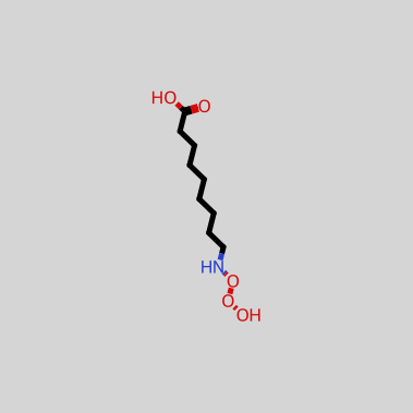 O=C(O)CCCCCCCCNOOO